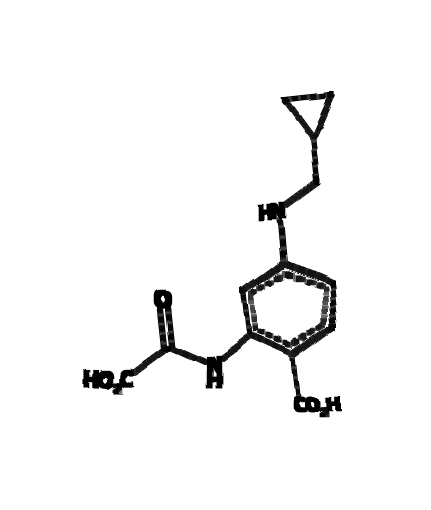 O=C(O)C(=O)Nc1cc(NCC2CC2)ccc1C(=O)O